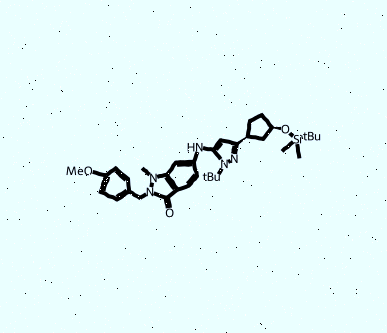 COc1ccc(Cn2c(=O)c3ccc(Nc4cc([C@H]5CC[C@@H](O[Si](C)(C)C(C)(C)C)C5)nn4C(C)(C)C)cc3n2C)cc1